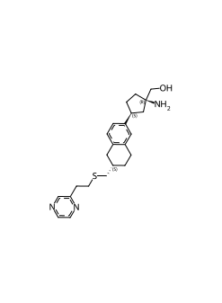 N[C@]1(CO)CC[C@H](c2ccc3c(c2)CC[C@H](CSCCc2cnccn2)C3)C1